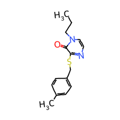 CCCn1ccnc(SCc2ccc(C)cc2)c1=O